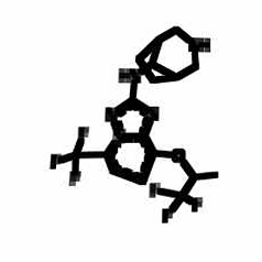 CC(Oc1ccc(C(F)(F)F)n2nc(NC3C4CCC3CNC4)nc12)C(F)(F)F